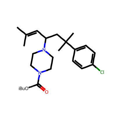 CC(C)=CC(CC(C)(C)c1ccc(Cl)cc1)N1CCN(C(=O)OCC(C)C)CC1